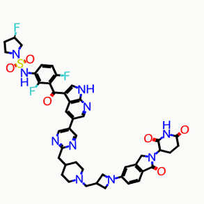 O=C1CCC(N2Cc3cc(N4CC(CN5CCC(Cc6ncc(-c7cnc8[nH]cc(C(=O)c9c(F)ccc(NS(=O)(=O)N%10CC[C@@H](F)C%10)c9F)c8c7)cn6)CC5)C4)ccc3C2=O)C(=O)N1